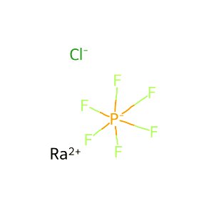 F[P-](F)(F)(F)(F)F.[Cl-].[Ra+2]